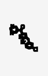 O=C(c1cncnc1)c1cc(Cc2cccc(Cl)c2)c(Br)s1